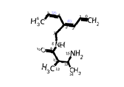 C=C/C=C(\C=C/C)CNC(=O)C(C)C(C)N